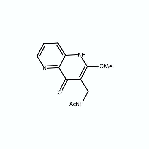 COc1[nH]c2cccnc2c(=O)c1CNC(C)=O